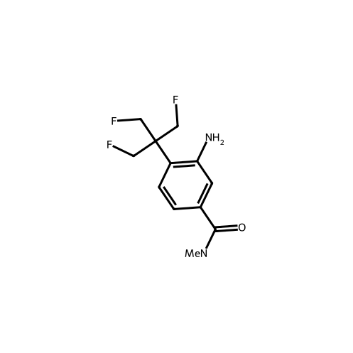 CNC(=O)c1ccc(C(CF)(CF)CF)c(N)c1